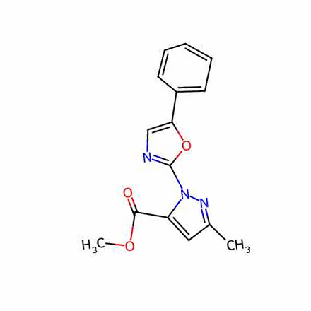 COC(=O)c1cc(C)nn1-c1ncc(-c2ccccc2)o1